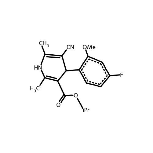 COc1cc(F)ccc1C1C(C#N)=C(C)NC(C)=C1C(=O)OC(C)C